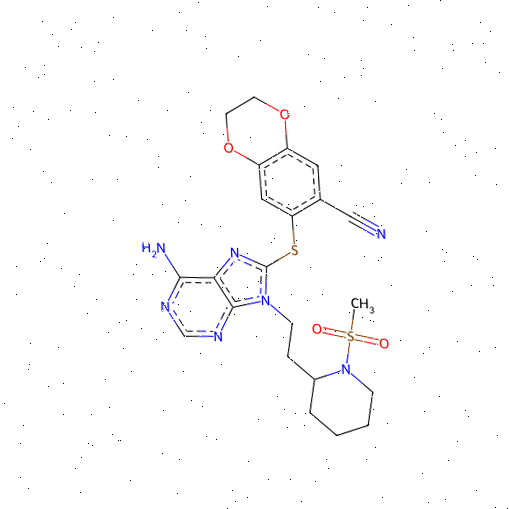 CS(=O)(=O)N1CCCCC1CCn1c(Sc2cc3c(cc2C#N)OCCO3)nc2c(N)ncnc21